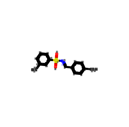 O=C(O)c1ccc(/C=N/S(=O)(=O)c2cccc([N+](=O)[O-])c2)cc1